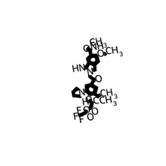 CCOc1cc2c(cc1C(=O)NC)C(=N)N(CC(=O)c1cc(N3CCCC3)c(OCC(=O)OC(=O)C(F)(F)F)c(C(C)(C)C)c1)C2